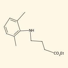 CCOC(=O)CCCNc1c(C)cccc1C